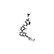 C1CC1.Cc1ccc(COc2ccc(-c3cccc4nc(NC(=O)O)nn34)cc2)cn1